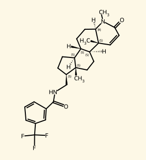 CN1C(=O)C=C[C@]2(C)[C@H]3CC[C@]4(C)[C@@H](CNC(=O)c5cccc(C(F)(F)F)c5)CC[C@H]4[C@@H]3CC[C@@H]12